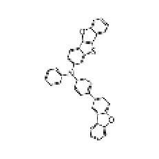 c1ccc(N(c2ccc(-c3ccc4oc5ccccc5c4c3)cc2)c2ccc3c(c2)sc2c4ccccc4oc32)cc1